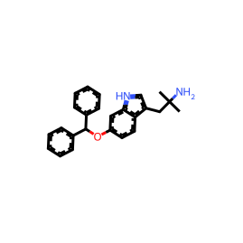 CC(C)(N)Cc1c[nH]c2cc(OC(c3ccccc3)c3ccccc3)ccc12